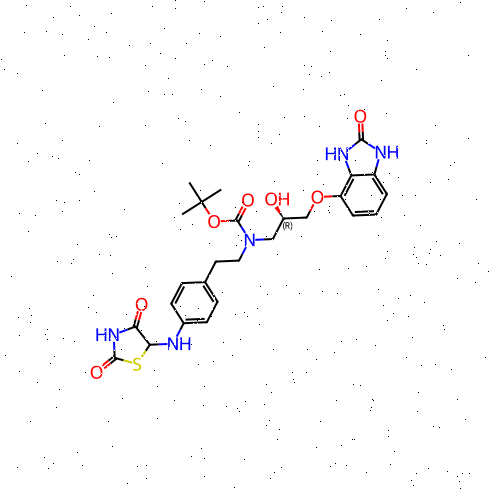 CC(C)(C)OC(=O)N(CCc1ccc(NC2SC(=O)NC2=O)cc1)C[C@@H](O)COc1cccc2[nH]c(=O)[nH]c12